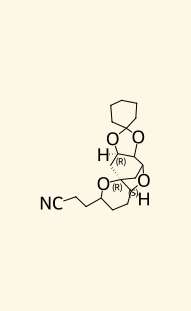 N#CCCC1CC[C@@H]2OC3C[C@]2(C[C@H]2OC4(CCCCC4)OC32)O1